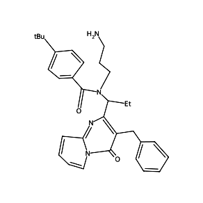 CCC(c1nc2ccccn2c(=O)c1Cc1ccccc1)N(CCCN)C(=O)c1ccc(C(C)(C)C)cc1